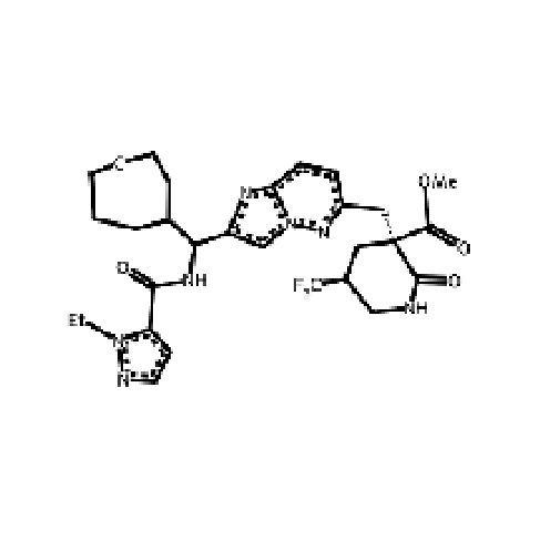 CCn1nccc1C(=O)N[C@H](c1cn2nc(C[C@@]3(C(=O)OC)C[C@H](C(F)(F)F)CNC3=O)ccc2n1)C1CCCCCC1